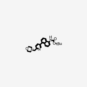 CC(C)(C)OC(=O)Nc1cccc2c(-c3ccc(CN4CCOCC4)nc3)cccc12